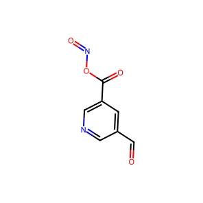 O=Cc1cncc(C(=O)ON=O)c1